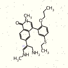 CCCOc1ccc(SCC)cc1-c1cn(C)c(=O)c2ccc(/C(=C/NC)CN)cc12